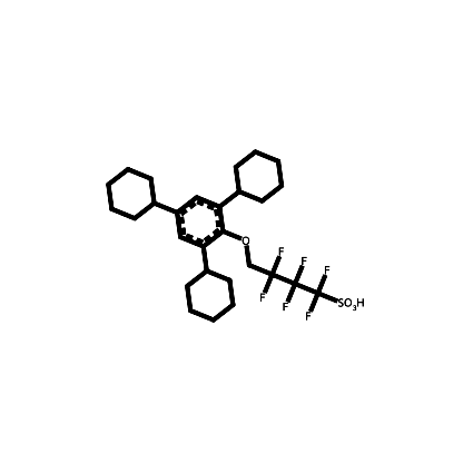 O=S(=O)(O)C(F)(F)C(F)(F)C(F)(F)COc1c(C2CCCCC2)cc(C2CCCCC2)cc1C1CCCCC1